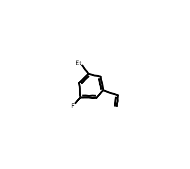 C=Cc1cc(F)cc(CC)c1